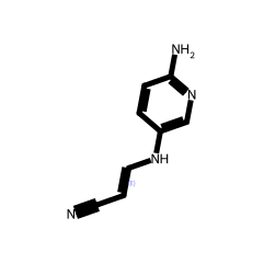 N#C/C=[C]/Nc1ccc(N)nc1